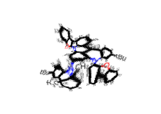 CC(C)(C)c1ccc2c(c1)N(c1cccc3c1oc1ccccc13)c1cc(N3c4ccc(C(C)(C)C)cc4C4(C)CCCCC34C)cc3c1C2c1cccc2c4c5ccccc5oc4n-3c12